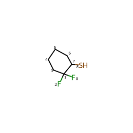 FC1(F)CCCCC1S